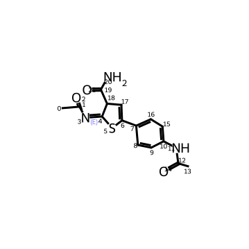 CC(=O)/N=C1/SC(c2ccc(NC(C)=O)cc2)=CC1C(N)=O